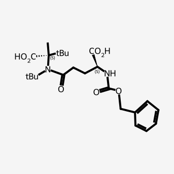 CC(C)(C)N(C(=O)CC[C@H](NC(=O)OCc1ccccc1)C(=O)O)[C@](C)(C(=O)O)C(C)(C)C